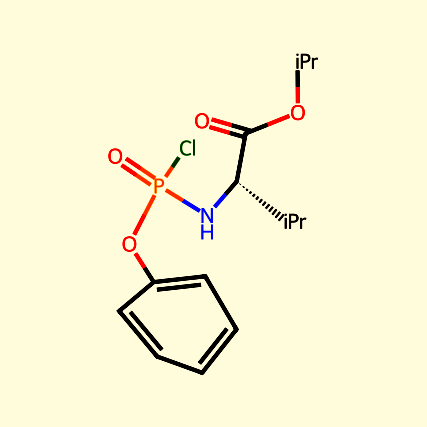 CC(C)OC(=O)[C@@H](NP(=O)(Cl)Oc1ccccc1)C(C)C